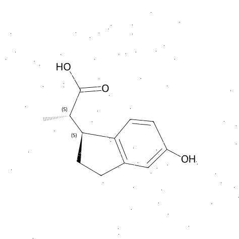 C[C@H](C(=O)O)[C@@H]1CCc2cc(O)ccc21